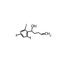 C=CCCC(O)c1c(I)cc(I)cc1I